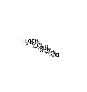 CN(C)CC1=Cc2ccc(NC(=O)c3ccc(-c4ccc(Cl)cc4)nc3)cc2CC1